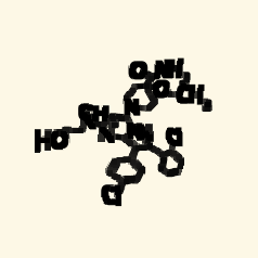 CCOC1(C(N)=O)CCN(c2cc(N(C)CCO)nc3c(-c4ccc(Cl)cc4)c(-c4ccccc4Cl)nn23)CC1